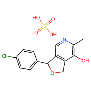 Cc1ncc2c(c1O)COC2c1ccc(Cl)cc1.O=S(=O)(O)O